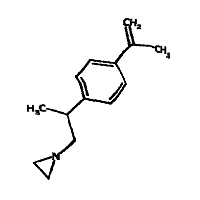 C=C(C)c1ccc(C(C)CN2CC2)cc1